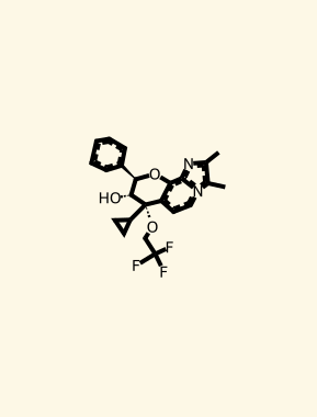 Cc1nc2c3c(ccn2c1C)[C@@](OCC(F)(F)F)(C1CC1)[C@H](O)[C@@H](c1ccccc1)O3